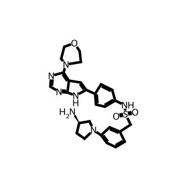 N[C@@H]1CCN(c2cccc(CS(=O)(=O)Nc3ccc(-c4cc5c(N6CCOCC6)ncnc5[nH]4)cc3)c2)C1